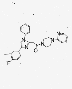 Cc1cc(-c2cn(-c3ccccc3)c(CC(=O)N3CCN(c4ccccn4)CC3)n2)ccc1F